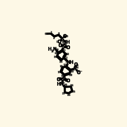 CCCCS(=O)(=O)NS(=O)(=O)c1cc(Nc2ccc(S(=O)(=O)NC3CCCC3)cc2[N+](=O)[O-])ccc1N